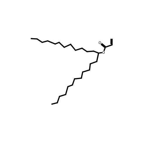 C=CC(=O)OC(CCCCCCCCCCCC)CCCCCCCCCCCC